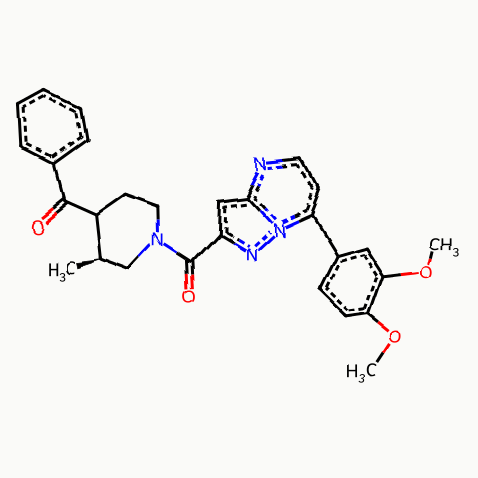 COc1ccc(-c2ccnc3cc(C(=O)N4CCC(C(=O)c5ccccc5)[C@H](C)C4)nn23)cc1OC